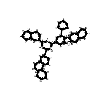 c1ccc(-c2cc(-c3nc(-c4ccc5ccccc5c4)nc(-c4ccc5c(ccc6ccccc65)c4)n3)cc3oc4cc5ccccc5cc4c23)cc1